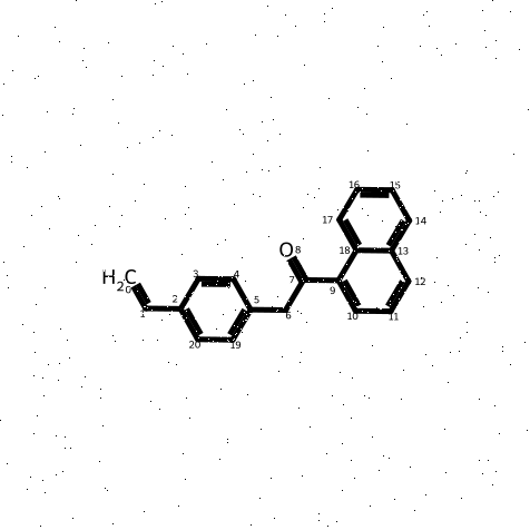 C=Cc1ccc(CC(=O)c2cccc3ccccc23)cc1